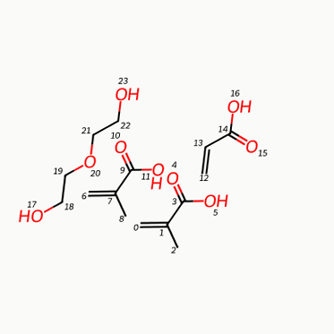 C=C(C)C(=O)O.C=C(C)C(=O)O.C=CC(=O)O.OCCOCCO